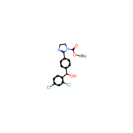 CCCCOC(=O)N1CCN=C1c1ccc(C(O)c2ccc(Cl)cc2Cl)cc1